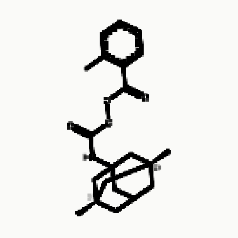 Cc1ccccc1C(=O)OOC(=O)NC12CC3C[C@@](C)(C1)C[C@](C)(C3)C2